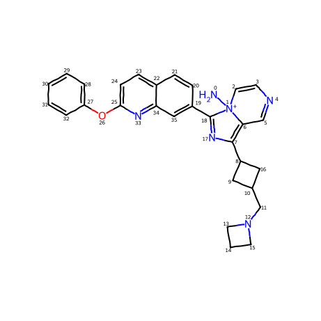 N[N+]12C=CN=CC1=C(C1CC(CN3CCC3)C1)N=C2c1ccc2ccc(Oc3ccccc3)nc2c1